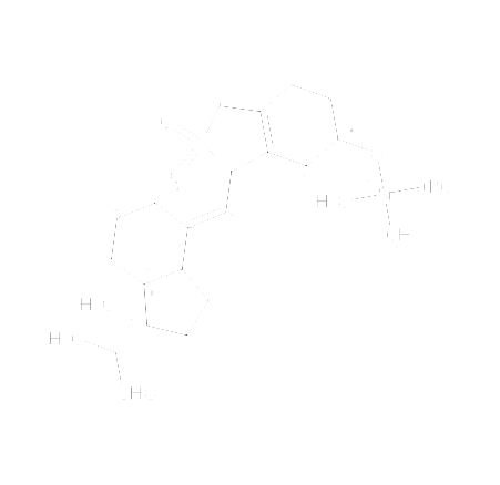 CC(C=O)[C@H]1CCC2C(=CC3C4=C(CCC(O[Si](C)(C)C(C)(C)C)C4)CS3(=O)=O)CCC[C@@]21C